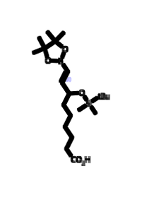 CC1(C)OB(/C=C/C(CCCCCC(=O)O)O[Si](C)(C)C(C)(C)C)OC1(C)C